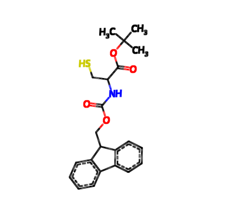 CC(C)(C)OC(=O)C(CS)NC(=O)OCC1c2ccccc2-c2ccccc21